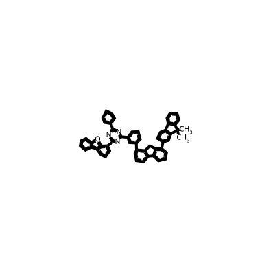 CC1(C)c2ccccc2-c2ccc(-c3cccc4c3Cc3c(-c5cccc(-c6nc(-c7ccccc7)nc(-c7cccc8c7oc7ccccc78)n6)c5)cccc3-4)cc21